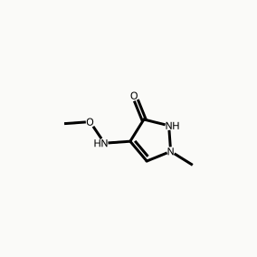 CONc1cn(C)[nH]c1=O